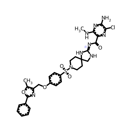 CNc1nc(N)c(Cl)nc1C(=O)/N=C1\NCC2(CCN(S(=O)(=O)c3ccc(OCc4nc(-c5ccccc5)oc4C)cc3)CC2)N1